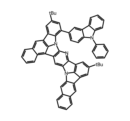 CC(C)(C)c1cc(-c2ccc3c(c2)c2ccccc2n3-c2ccccc2)c2c(c1)c1cc3ccccc3c3c4cc5c(nc4n2c13)c1cc(C(C)(C)C)cc2c3cc4ccccc4cc3n5c21